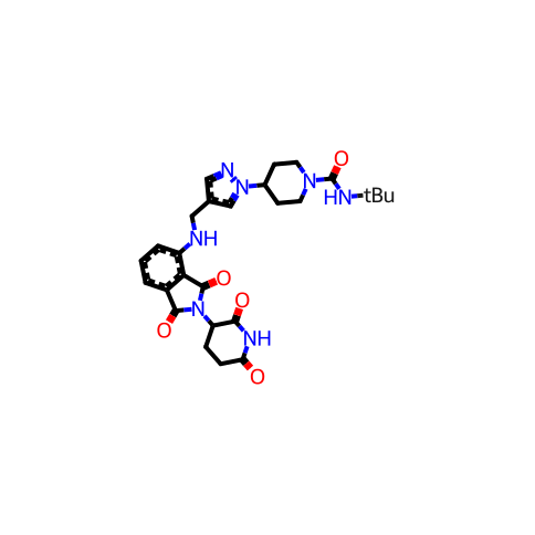 CC(C)(C)NC(=O)N1CCC(n2cc(CNc3cccc4c3C(=O)N(C3CCC(=O)NC3=O)C4=O)cn2)CC1